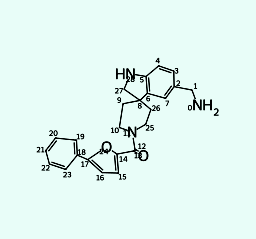 NCc1ccc2c(c1)C1(CCN(C(=O)c3ccc(-c4ccccc4)o3)CC1)CN2